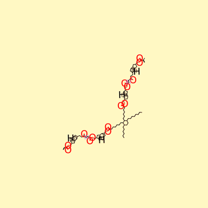 C=CC(=O)OCC1CC2C3CC(CC3CCC(=O)/C=C/C(=O)OCC3CC4C5CC(CC5COC(=O)CCCCCCC5C(CCCCCC)CCC(CCCCCCCC)C5CCCCCCC(=O)OCC5CC6CC5[C@H]5CC(COC(=O)/C=C/C(=O)CCC7CC8C[C@H]7C7CC(COC(=O)C(=C)C)CC87)CC65)[C@H]4C3)[C@H]2C1